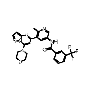 Cc1ncc(NC(=O)c2cccc(C(F)(F)F)c2)cc1-c1cc(N2CCOCC2)n2nccc2n1